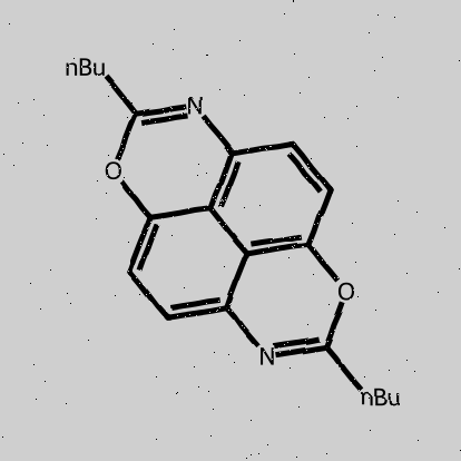 CCCCC1=Nc2ccc3c4c(ccc(c24)O1)N=C(CCCC)O3